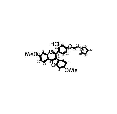 COc1ccc(-c2oc3cc(OC)ccc3c2C(=O)c2ccc(OCCN3CCCC3)cc2)cc1.Cl